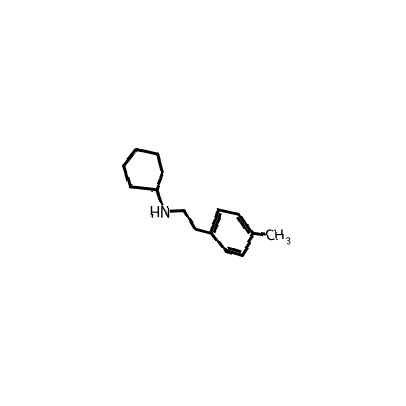 Cc1ccc(CCNC2CCCCC2)cc1